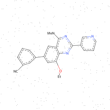 CCOc1cc(-c2cccc(C#N)c2)cc2c(NC)nc(-c3cccnc3)nc12